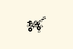 COc1ccc(-c2cn(COCC[Si](C)(C)C)c3ncnc(N[C@@H](C)c4nn5ccc(C)c5c(=O)n4-c4ccccc4)c23)c(OC)c1